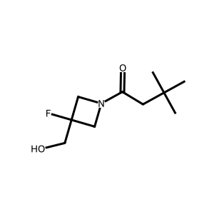 CC(C)(C)CC(=O)N1CC(F)(CO)C1